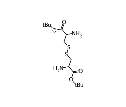 CC(C)(C)OC(=O)C(N)CSSCC(N)C(=O)OC(C)(C)C